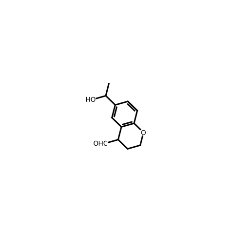 CC(O)c1ccc2c(c1)C(C=O)CCO2